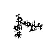 O=C(CCC(F)(F)F)NC(c1cnn2cc([C@@H](NC(=O)c3cccc(OCC(F)(F)F)n3)C3CCC(F)(F)CC3)nc2c1)C1CC1